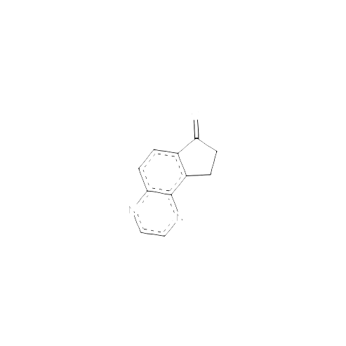 O=C1CCc2c1ccc1nccnc21